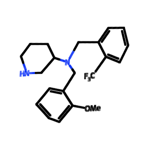 COc1ccccc1CN(Cc1ccccc1C(F)(F)F)C1CCCNC1